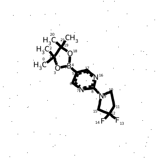 CC1(C)OB(c2cnc(N3CCC(F)(F)C3)nc2)OC1(C)C